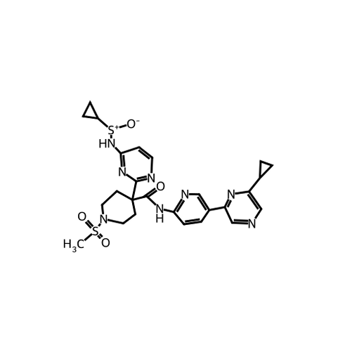 CS(=O)(=O)N1CCC(C(=O)Nc2ccc(-c3cncc(C4CC4)n3)cn2)(c2nccc(N[S+]([O-])C3CC3)n2)CC1